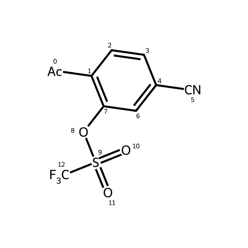 CC(=O)c1ccc(C#N)cc1OS(=O)(=O)C(F)(F)F